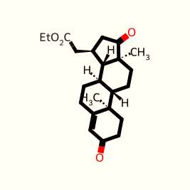 CCOC(=O)C[C@H]1CC(=O)[C@@]2(C)CC[C@H]3[C@@H](CCC4=CC(=O)CC[C@@]43C)[C@H]12